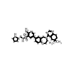 CC1(C)CCc2ncnc(N3CCOc4ccc(-c5cnc(N)c(S(=O)(=O)NC[C@@H]6CCCN6)c5)cc4C3)c2C1